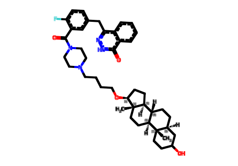 C[C@]12CCC(O)C[C@@H]1CC[C@@H]1[C@@H]2CC[C@]2(C)[C@@H](OCCCCN3CCN(C(=O)c4cc(Cc5n[nH]c(=O)c6ccccc56)ccc4F)CC3)CC[C@@H]12